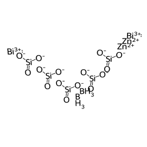 B.B.O=[Si]([O-])[O-].O=[Si]([O-])[O-].O=[Si]([O-])[O-].O=[Si]([O-])[O-].O=[Si]([O-])[O-].[Bi+3].[Bi+3].[Zn+2].[Zn+2]